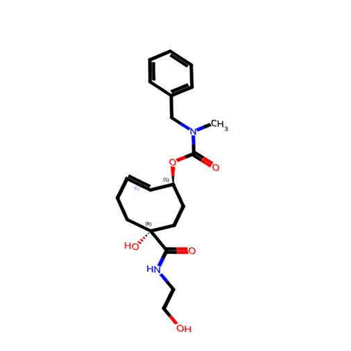 CN(Cc1ccccc1)C(=O)O[C@@H]1/C=C/CC[C@](O)(C(=O)NCCO)CC1